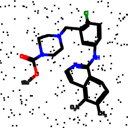 Cc1ccc2c(Nc3ccc(Cl)c(CN4CCN(C(=O)OC(C)(C)C)CC4)c3)nccc2c1[N+](=O)[O-]